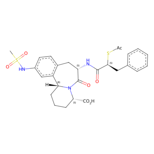 CC(=O)S[C@@H](Cc1ccccc1)C(=O)N[C@H]1Cc2ccc(NS(C)(=O)=O)cc2[C@H]2CCC[C@@H](C(=O)O)N2C1=O